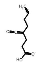 C=CCCC(=C=O)CCC(=O)O